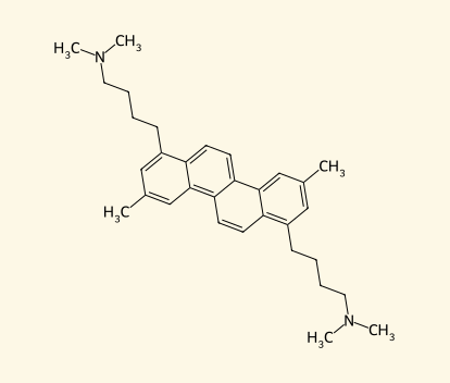 Cc1cc(CCCCN(C)C)c2ccc3c4cc(C)cc(CCCCN(C)C)c4ccc3c2c1